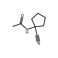 CC(=O)NC1(C#N)CCCC1